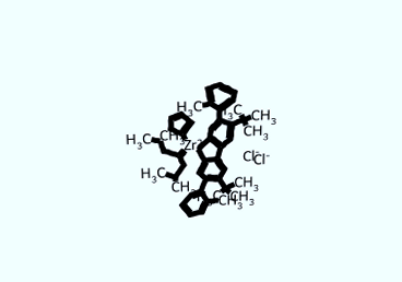 Cc1ccccc1-c1cc2c(cc1C(C)(C)C)-c1cc(C(C)(C)C)c(-c3ccccc3C)cc1[CH]2[Zr+2]([C]1=CC=CC1)=[C](CC(C)C)CC(C)C.[Cl-].[Cl-]